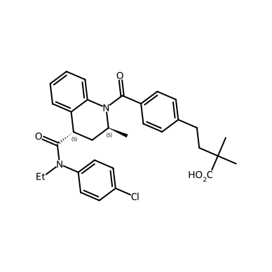 CCN(C(=O)[C@H]1C[C@H](C)N(C(=O)c2ccc(CCC(C)(C)C(=O)O)cc2)c2ccccc21)c1ccc(Cl)cc1